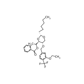 CCCCCC[C@@H]1OC[C@H](OCc2ccc(C(F)(F)F)c(OCC)c2)[C@@H](C(C)OC(=O)c2ccccc2)O1